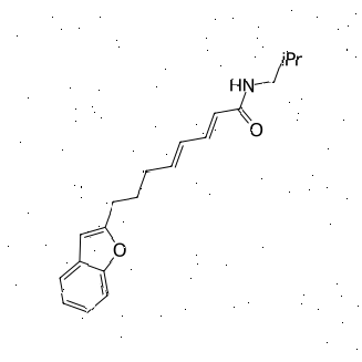 CC(C)CNC(=O)C=CC=CCCCc1cc2ccccc2o1